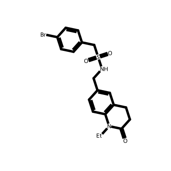 CCN1C(=O)CCc2cc(CNS(=O)(=O)Cc3ccc(Br)cc3)ccc21